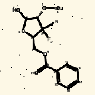 CCCCO[C@H]1C(O)O[C@H](COC(=O)c2ccccc2)C1(F)F